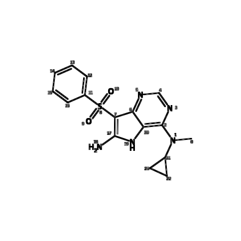 CN(c1ncnc2c(S(=O)(=O)c3ccccc3)c(N)[nH]c12)C1CC1